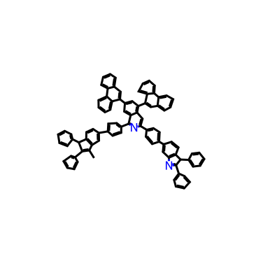 CC1=C(c2ccccc2)C(c2ccccc2)c2ccc(-c3ccc(-c4nc(-c5ccc(-c6ccc7c(c6)N=C(c6ccccc6)C7c6ccccc6)cc5)cc5c(-c6cc7ccccc7c7ccccc67)cc(-c6cc7ccccc7c7ccccc67)cc45)cc3)cc21